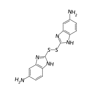 Nc1ccc2[nH]c(SSc3nc4cc(N)ccc4[nH]3)nc2c1